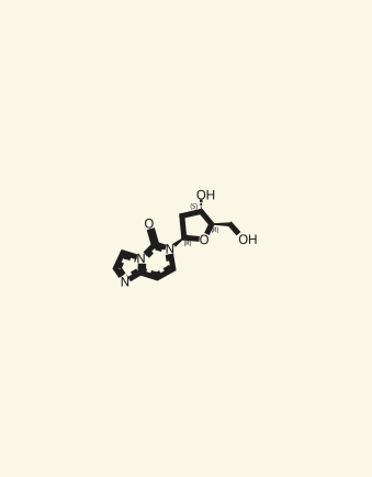 O=c1n([C@H]2C[C@H](O)[C@@H](CO)O2)ccc2nccn12